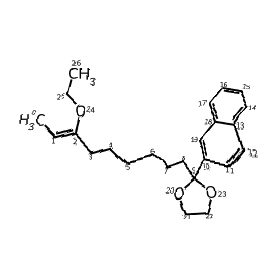 C/C=C(/CCCCCCC1(c2ccc3ccccc3c2)OCCO1)OCC